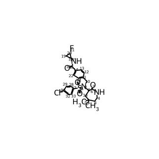 CC1(C)CCNC(=O)C(N(Cc2ccc(C(=O)N[C@@H]3C[C@@H]3F)cc2)S(=O)(=O)c2ccc(Cl)cc2)C1